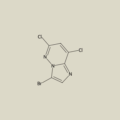 Clc1cc(Cl)c2ncc(Br)n2n1